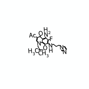 CC(=O)c1cn2c3c(c(NCCCn4ccnc4)c(F)c(N)c3c1=O)OCC(C)(C)C2